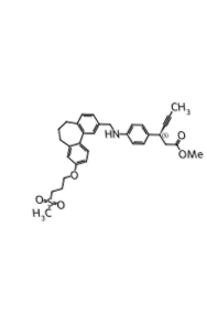 CC#C[C@@H](CC(=O)OC)c1ccc(NCc2ccc3c(c2)-c2ccc(OCCCS(C)(=O)=O)cc2CCC3)cc1